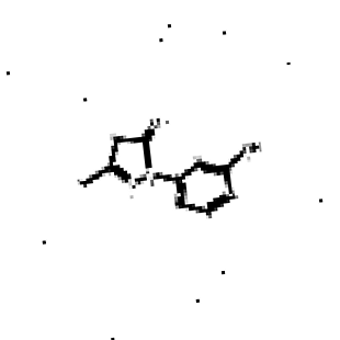 CC1=NN(c2cccc(O)c2)C(=O)C1